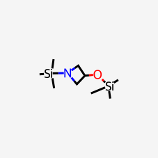 C[Si](C)(C)OC1CN([Si](C)(C)C)C1